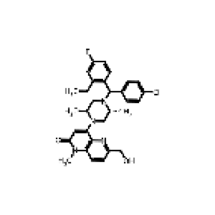 CCc1cc(F)ccc1C(c1ccc(Cl)cc1)N1C[C@H](C)N(c2cc(=O)n(C)c3ccc(CO)nc23)C[C@H]1C